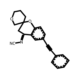 N#CN=C1CC2(CCCOC2)Oc2ccc(C#Cc3ccccc3)cc21